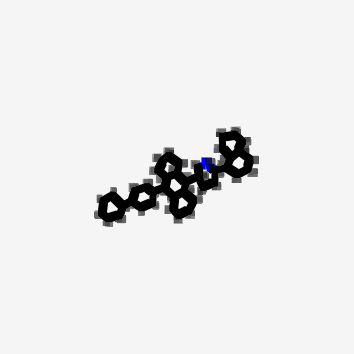 c1ccc(-c2ccc(-c3c4ccccc4c(-c4ccc(-c5cccc6ccccc56)nc4)c4ccccc34)cc2)cc1